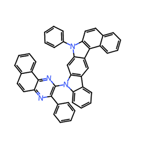 c1ccc(-c2nc3ccc4ccccc4c3nc2-n2c3ccccc3c3cc4c5c6ccccc6ccc5n(-c5ccccc5)c4cc32)cc1